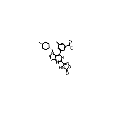 Cc1cc(C(=O)O)cc(-c2nc(-c3noc(=O)[nH]3)nc3ncn(C[C@H]4CC[C@H](C)CC4)c23)c1